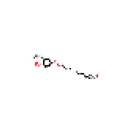 O=C=C=CCCCCCCCCOc1ccc(O)c(C=O)c1